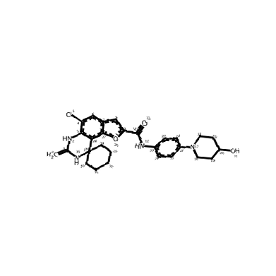 C=C1Nc2c(Cl)cc3cc(C(=O)Nc4ccc(N5CCC(O)CC5)cc4)oc3c2C2(CCCCC2)N1